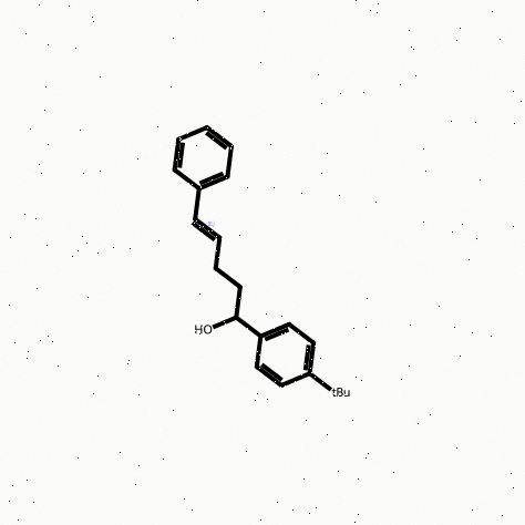 CC(C)(C)c1ccc(C(O)CC/C=C/c2ccccc2)cc1